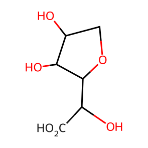 O=C(O)C(O)C1OCC(O)C1O